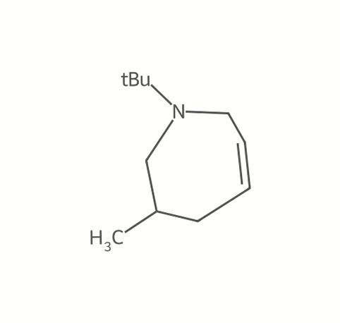 CC1CC=CCN(C(C)(C)C)C1